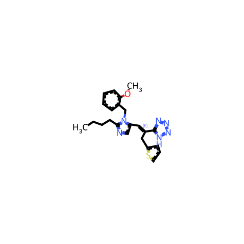 CCCCc1ncc(/C=C(\Cc2cccs2)c2nnn[nH]2)n1Cc1ccccc1OC